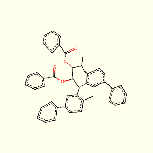 Cc1ccc(-c2ccccc2)cc1C1c2cc(-c3ccccc3)ccc2C(C)C(OC(=O)c2ccccc2)C1OC(=O)c1ccccc1